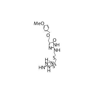 COc1ccc(COCCc2cnc(NCCSCc3csc(NC(=N)N)n3)[nH]c2=O)cc1